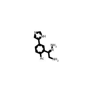 CC(=O)c1ccc(-c2cnc[nH]2)cc1/C(CN)=N\N